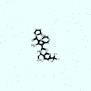 CC[C@@H](NC(=O)c1c(C)c(C(=O)N2CCC[C@@H]2C)n2c1COCC2)c1ccc(C(F)(F)F)nc1